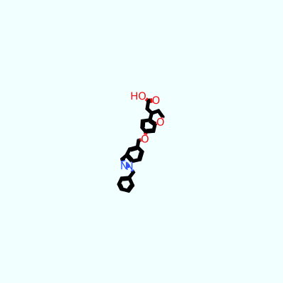 O=C(O)CC1CCOc2cc(OCc3ccc4c(cnn4Cc4ccccc4)c3)ccc21